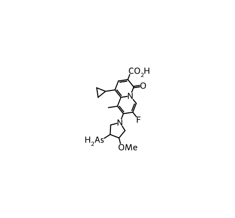 COC1CN(c2c(F)cn3c(=O)c(C(=O)O)cc(C4CC4)c3c2C)CC1[AsH2]